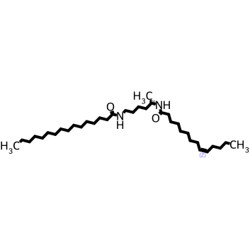 CCCC/C=C\CCCCCCCC(=O)N[C@H](C)CCCCNC(=O)CCCCCCCCCCCCCCC